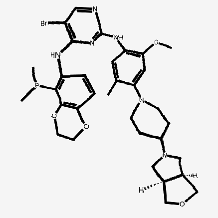 COc1cc(N2CCC(N3C[C@H]4COC[C@H]4C3)CC2)c(C)cc1Nc1ncc(Br)c(Nc2ccc3c(c2P(C)C)OCCO3)n1